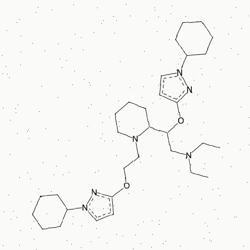 CCN(CC)CC(Oc1ccn(C2CCCCC2)n1)C1CCCCN1CCOc1ccn(C2CCCCC2)n1